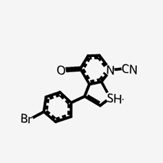 N#Cn1ccc(=O)c2c1[SH]C=C2c1ccc(Br)cc1